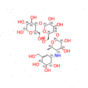 C[C@H]1O[C@H](O[C@H]2[C@H](O)[C@@H](O)[C@@H](O[C@H]3[C@H](O)[C@@H](O)[C@@H](O)O[C@@H]3CO)O[C@@H]2CO)[C@H](O)[C@@H](O)[C@@H]1N[C@H]1C=C(CO)[C@@H](O)[C@H](O)[C@H]1O